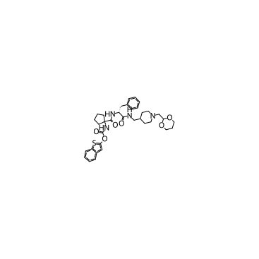 O=C(NC1(C(=O)N[C@H](Cc2ccccc2)C(=O)NCC2CCN(CC3OCCCO3)CC2)CCCC1)Oc1cc2ccccc2s1